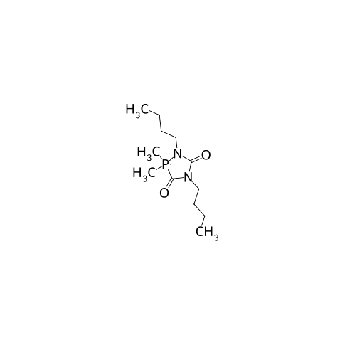 CCCCN1C(=O)N(CCCC)[P](C)(C)C1=O